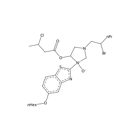 CCCCCCOc1ccc2sc([N+]3([O-])CN(CC(Br)CCC)CC3OC(=O)CC(C)Cl)nc2c1